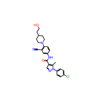 Cc1c(C(=O)Nc2ccc(N3CCC(CCO)CC3)c(C#N)c2)cnn1-c1ccc(Cl)cc1